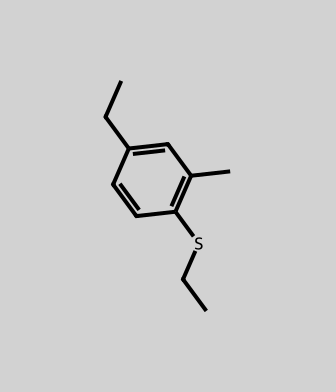 CCSc1ccc(CC)cc1C